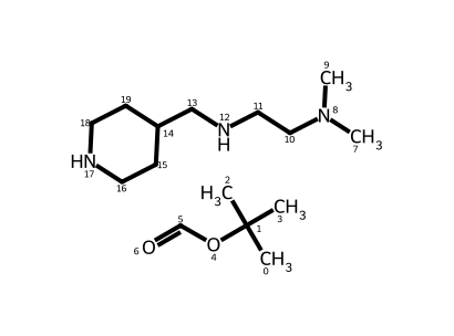 CC(C)(C)OC=O.CN(C)CCNCC1CCNCC1